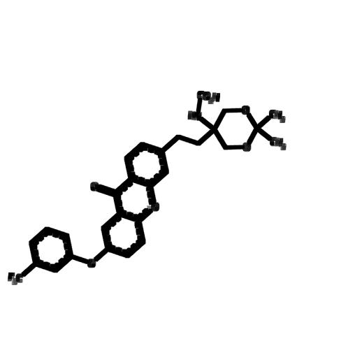 CC1(C)OCC(CCc2ccc3c(=O)c4cc(Oc5cccc(C(F)(F)F)c5)ccc4oc3c2)(NC(=O)O)CO1